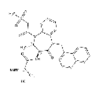 CN[C@@H](C)C(=O)N[C@@H]1C(=O)N(Cc2ccnc3ccccc23)c2ccccc2N(C(=O)CS(C)(=O)=O)[C@H]1C.Cl